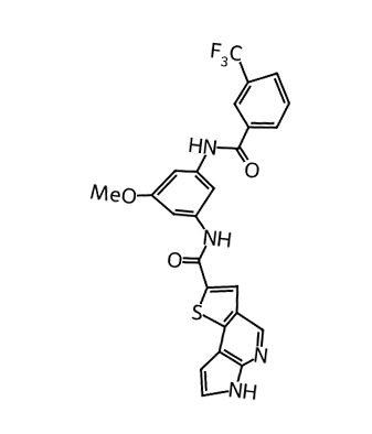 COc1cc(NC(=O)c2cccc(C(F)(F)F)c2)cc(NC(=O)c2cc3cnc4[nH]ccc4c3s2)c1